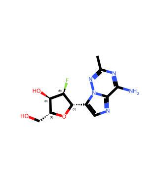 Cc1nc(N)c2ncc([C@@H]3O[C@H](CO)[C@@H](O)[C@H]3F)n2n1